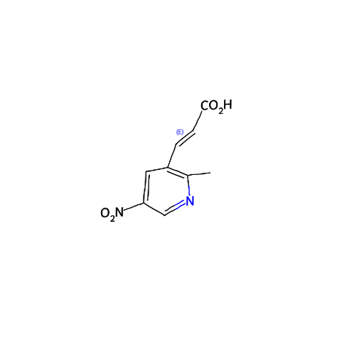 Cc1ncc([N+](=O)[O-])cc1/C=C/C(=O)O